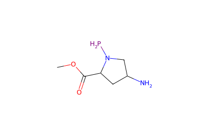 COC(=O)C1CC(N)CN1P